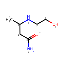 CC(CC(N)=O)NCCO